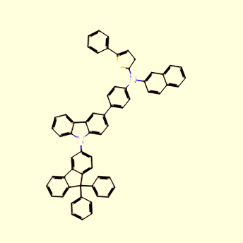 C1=C(c2ccccc2)SC(N(c2ccc(-c3ccc4c(c3)c3ccccc3n4-c3ccc4c(c3)-c3ccccc3C4(c3ccccc3)c3ccccc3)cc2)c2ccc3ccccc3c2)C1